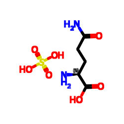 NC(=O)CC[C@H](N)C(=O)O.O=S(=O)(O)O